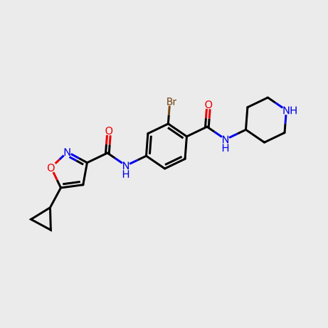 O=C(Nc1ccc(C(=O)NC2CCNCC2)c(Br)c1)c1cc(C2CC2)on1